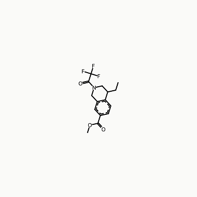 CCC1CN(C(=O)C(F)(F)F)Cc2cc(C(=O)OC)ccc21